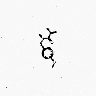 COc1ccc(CN(C)C(=O)C(C)C)cn1